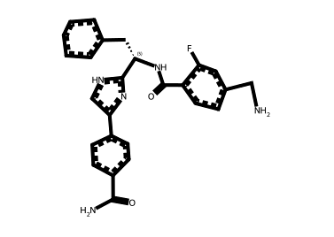 NCc1ccc(C(=O)N[C@@H](Cc2ccccc2)c2nc(-c3ccc(C(N)=O)cc3)c[nH]2)c(F)c1